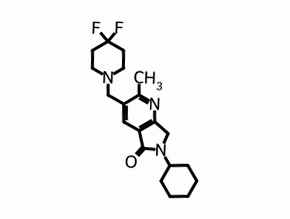 Cc1nc2c(cc1CN1CCC(F)(F)CC1)C(=O)N(C1CCCCC1)C2